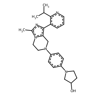 Cc1nc(-c2cccnc2C(C)C)c2n1CCN(c1ccc(N3CCC(O)C3)cc1)C2